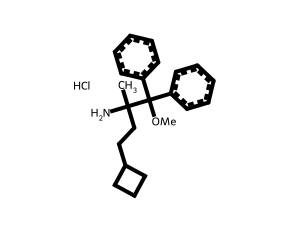 COC(c1ccccc1)(c1ccccc1)C(C)(N)CCC1CCC1.Cl